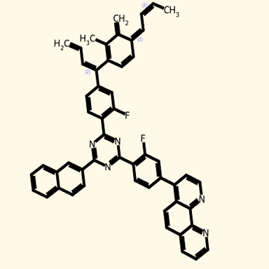 C=C/C=C(/c1ccc(-c2nc(-c3ccc4ccccc4c3)nc(-c3ccc(-c4ccnc5c4ccc4cccnc45)cc3F)n2)c(F)c1)c1cc/c(=C/C=C\C)c(=C)c1C